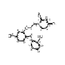 O=c1ccn(CCOc2cc(Cl)ccc2Cc2ccccc2Cl)c(=O)[nH]1